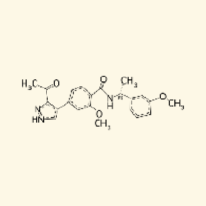 COc1cccc([C@@H](C)NC(=O)c2ccc(-c3c[nH]nc3C(C)=O)cc2OC)c1